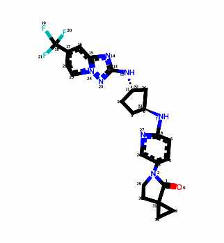 O=C1N(c2ccc(N[C@H]3CC[C@H](Nc4nc5cc(C(F)(F)F)ccn5n4)C3)nc2)CCC12CC2